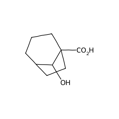 O=C(O)C12CCCC(CC1)C2O